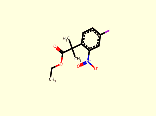 CCOC(=O)C(C)(C)c1ccc(I)cc1[N+](=O)[O-]